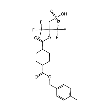 Cc1ccc(COC(=O)C2CCC(C(=O)OC(CS(=O)(=O)O)(C(F)(F)F)C(F)(F)F)CC2)cc1